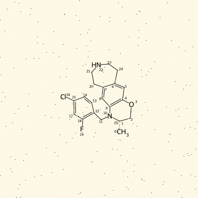 C[C@H]1COc2cc3c(cc2N1Cc1ccc(Cl)cc1F)CCNCC3